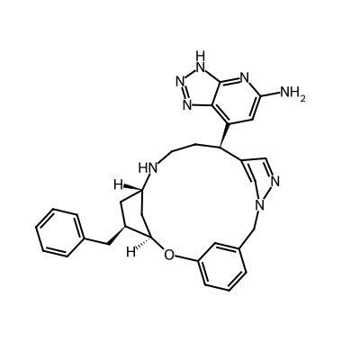 Nc1cc([C@@H]2CCN[C@H]3C[C@H](Cc4ccccc4)[C@@H](C3)Oc3cccc(c3)Cn3cc2cn3)c2nn[nH]c2n1